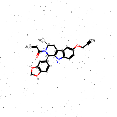 C#CCOc1ccc2[nH]c3c(c2c1)C[C@@H](C(=O)O)N(C(=O)C=C)[C@@H]3c1ccc2c(c1)OCO2